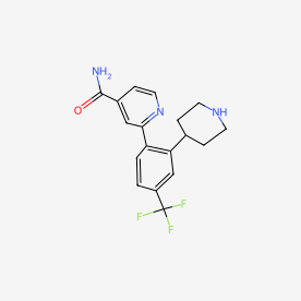 NC(=O)c1ccnc(-c2ccc(C(F)(F)F)cc2C2CCNCC2)c1